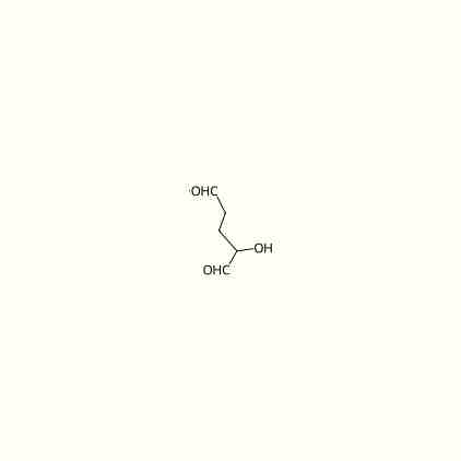 O=[C]CCC(O)C=O